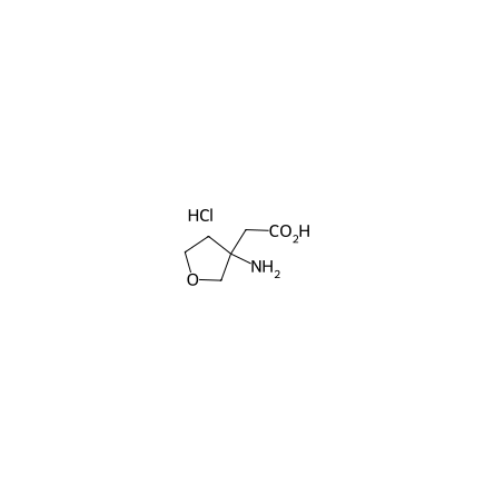 Cl.NC1(CC(=O)O)CCOC1